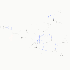 C=C(NCC)c1ccc2c(c1)CCc1cc(C(=O)NCC)ccc1C2(CC1(NCC(=C)N(C(C)C#N)C2CC2)CC1)/C(N)=N/N=N